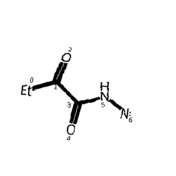 CCC(=O)C(=O)N[N]